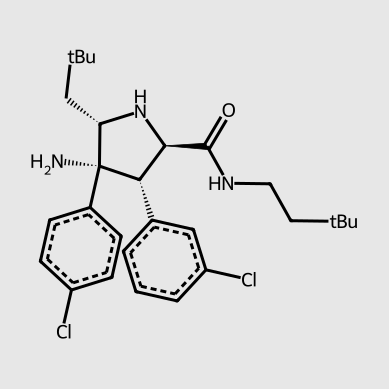 CC(C)(C)CCNC(=O)[C@@H]1N[C@@H](CC(C)(C)C)[C@](N)(c2ccc(Cl)cc2)[C@H]1c1cccc(Cl)c1